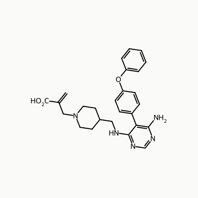 C=C(CN1CCC(CNc2ncnc(N)c2-c2ccc(Oc3ccccc3)cc2)CC1)C(=O)O